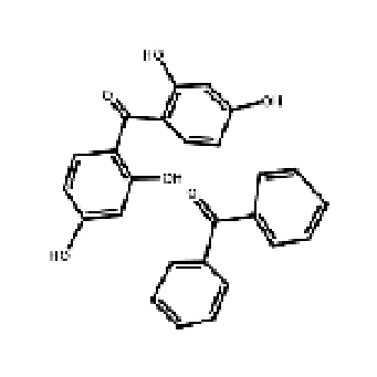 O=C(c1ccc(O)cc1O)c1ccc(O)cc1O.O=C(c1ccccc1)c1ccccc1